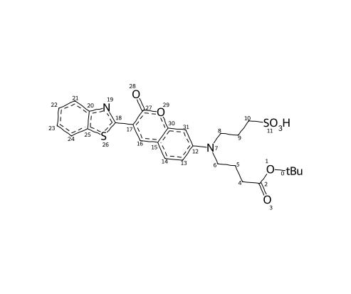 CC(C)(C)OC(=O)CCCN(CCCS(=O)(=O)O)c1ccc2cc(-c3nc4ccccc4s3)c(=O)oc2c1